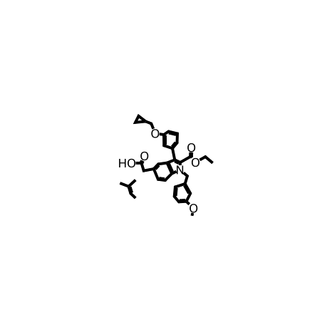 CC=C(C)C.CCOC(=O)c1c(-c2cccc(OCC3CC3)c2)c2cc(CC(=O)O)ccc2n1Cc1cccc(OC)c1